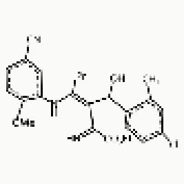 CCOC(=O)C(=N)/C(=C(\Nc1cc(C#N)ccc1OC)C(C)C)C(O)c1ccc(Cl)cc1C